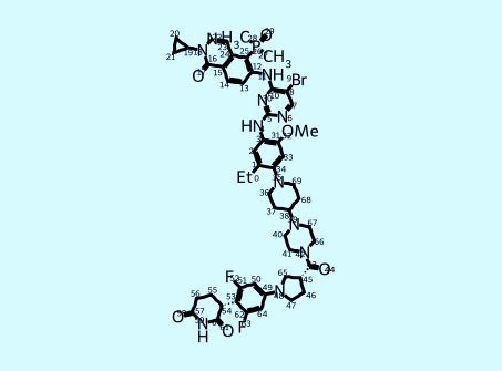 CCc1cc(Nc2ncc(Br)c(Nc3ccc4c(=O)n(C5CC5)ncc4c3P(C)(C)=O)n2)c(OC)cc1N1CCC(N2CCN(C(=O)[C@@H]3CCN(c4cc(F)c([C@H]5CCC(=O)NC5=O)c(F)c4)C3)CC2)CC1